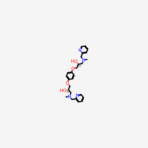 CN(Cc1ccccn1)C[C@H](O)COc1ccc(OC[C@@H](O)CN(C)Cc2ccccn2)cc1